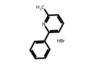 Br.Cc1cccc(-c2ccccc2)n1